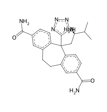 CC(C)[C@H](N)CC1(c2nnn[nH]2)c2ccc(C(N)=O)cc2CCc2cc(C(N)=O)ccc21